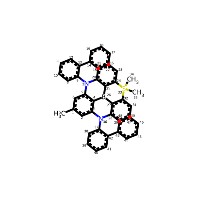 Cc1cc2c3c(c1)N(c1ccccc1-c1ccccc1)c1cccc4c1B3c1c(cccc1S4(C)C)N2c1ccccc1-c1ccccc1